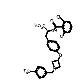 O=C(N[C@@H](Cc1ccc(OC2CN(Cc3ccc(C(F)(F)F)cc3)C2)cc1)C(=O)O)c1c(Cl)cccc1Cl